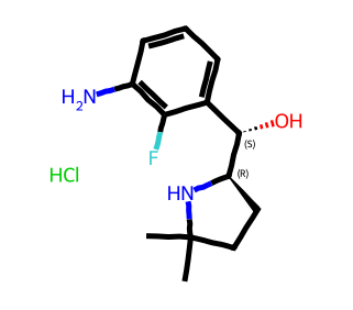 CC1(C)CC[C@H]([C@@H](O)c2cccc(N)c2F)N1.Cl